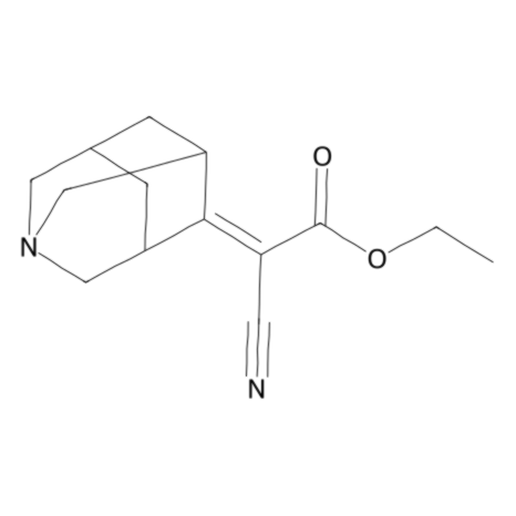 CCOC(=O)C(C#N)=C1C2CC3CC1CN(C3)C2